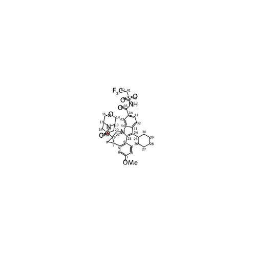 COc1ccc2c(c1)C1CC1(C(=O)N1C3COCC1COC3)Cn1c-2c(C2CCCCC2)c2ccc(C(=O)NS(=O)(=O)CC(F)(F)F)cc21